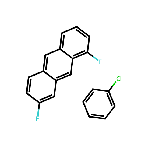 Clc1ccccc1.Fc1ccc2cc3cccc(F)c3cc2c1